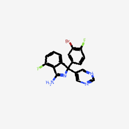 NC1=NC(c2cncnc2)(c2ccc(F)c(Br)c2)c2cccc(F)c21